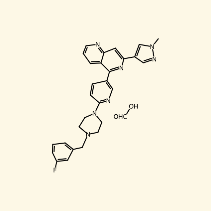 Cn1cc(-c2cc3ncccc3c(-c3ccc(N4CCN(Cc5cccc(F)c5)CC4)nc3)n2)cn1.O=CO